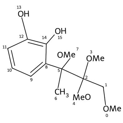 COCC(OC)(OC)C(C)(OC)c1cccc(O)c1O